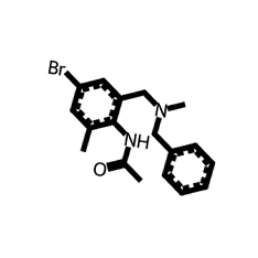 CC(=O)Nc1c(C)cc(Br)cc1CN(C)Cc1ccccc1